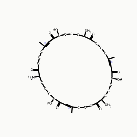 C/C1=C/C(=O)N(O)CCCC(N)C(=O)OCC/C(C)=C\C(=O)N(O)CCCC(N)C(=O)OCC/C(C)=C\C(=O)N(O)CCCC(N)C(=O)OCC1